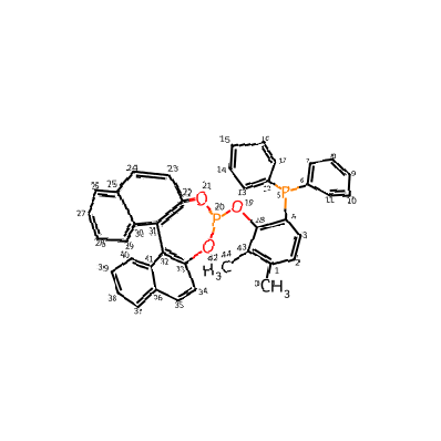 Cc1ccc(P(c2ccccc2)c2ccccc2)c(Op2oc3ccc4ccccc4c3c3c(ccc4ccccc43)o2)c1C